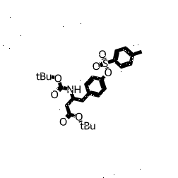 Cc1ccc(S(=O)(=O)Oc2ccc(CC(CC(=O)OC(C)(C)C)NC(=O)OC(C)(C)C)cc2)cc1